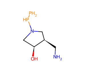 NC[C@@H]1CN(PP)C[C@@H]1O